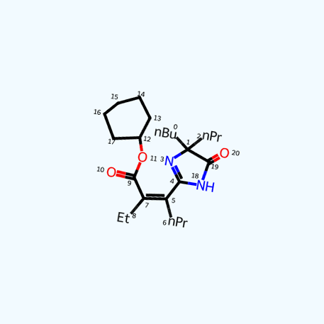 CCCCC1(CCC)N=C(C(CCC)=C(CC)C(=O)OC2CCCCC2)NC1=O